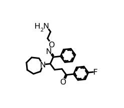 NCCON=C(c1ccccc1)C(CCC(=O)c1ccc(F)cc1)N1CCCCCC1